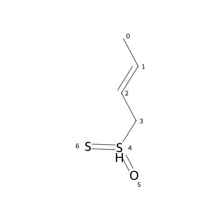 C/C=C/C[SH](=O)=S